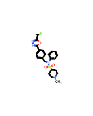 CN1CCC(S(=O)(=O)N(Cc2ccc(-c3nnc(C(F)F)o3)cc2)c2ccccc2)CC1